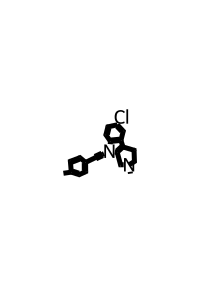 Cc1ccc(C#Cn2c3c(c4cc(Cl)ccc42)CCN(C)C3)cc1